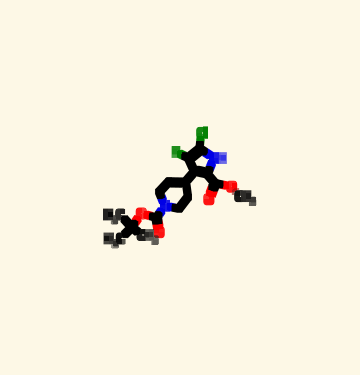 COC(=O)c1[nH]c(Cl)c(F)c1C1=CCN(C(=O)OC(C)(C)C)CC1